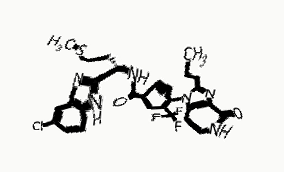 CCCc1nc2c(=O)[nH]ccc2n1-c1ccc(C(=O)N[C@@H](CCSC)c2nc3cc(Cl)ccc3[nH]2)cc1C(F)(F)F